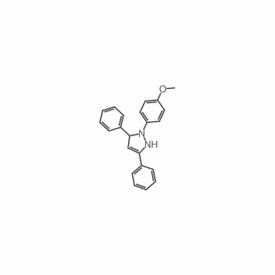 COc1ccc(N2NC(c3ccccc3)=CC2c2ccccc2)cc1